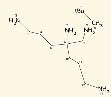 CC(C)(C)C.NCCCC(N)(CN)CCCN